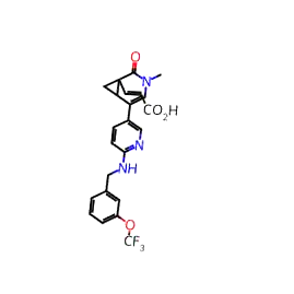 CN1C=C(c2ccc(NCc3cccc(OC(F)(F)F)c3)nc2)C2CC2(/C=C/C(=O)O)C1=O